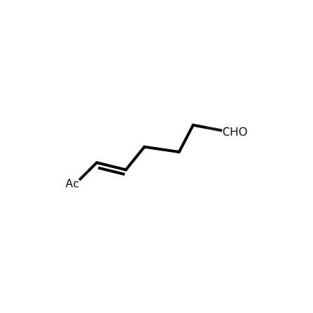 CC(=O)C=CCCCC=O